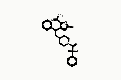 Cc1cc(C(CC2CCN(C(=O)C(F)(F)c3ccccc3)CC2)c2ccccc2)c(C(N)=O)s1